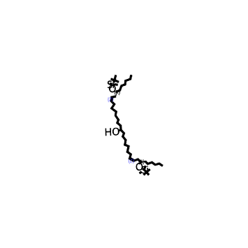 CCCCCC[C@H](C/C=C\CCCCCCCC(O)CCCCCCC/C=C\C[C@@H](CCCCCC)O[Si](C)(C)C(C)(C)C)O[Si](C)(C)C(C)(C)C